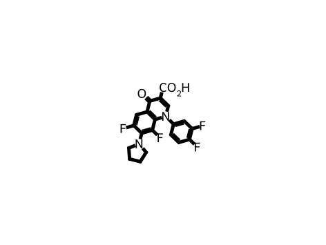 O=C(O)c1cn(-c2ccc(F)c(F)c2)c2c(F)c(N3CCCC3)c(F)cc2c1=O